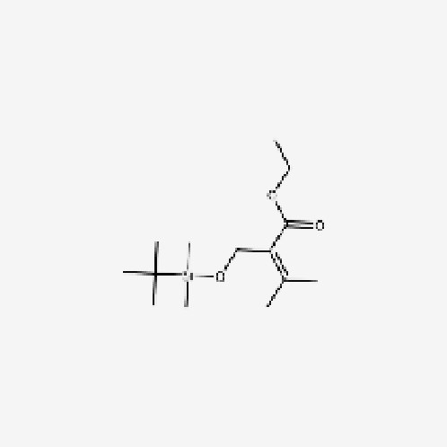 CCOC(=O)C(CO[Si](C)(C)C(C)(C)C)=C(C)C